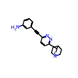 Nc1cccc(C#Cc2ccc(C3CN4CCC3CC4)nn2)c1